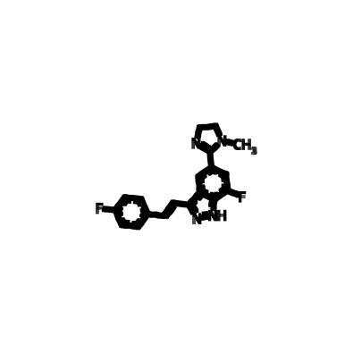 CN1CCN=C1c1cc(F)c2[nH]nc(/C=C/c3ccc(F)cc3)c2c1